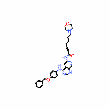 O=C(C#CCCCCN1CCOCC1)Nc1cc2c(Nc3ccc(OCc4ccccc4)cc3)ncnc2cn1